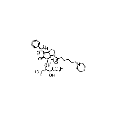 CCC[C@H]1C(=O)N(S(=O)(=O)c2ccccc2)[C@H]2CCN(C(=O)CCCCCN3CCCCC3)[C@H]12.O=C(O)C(O)C(O)C(=O)O